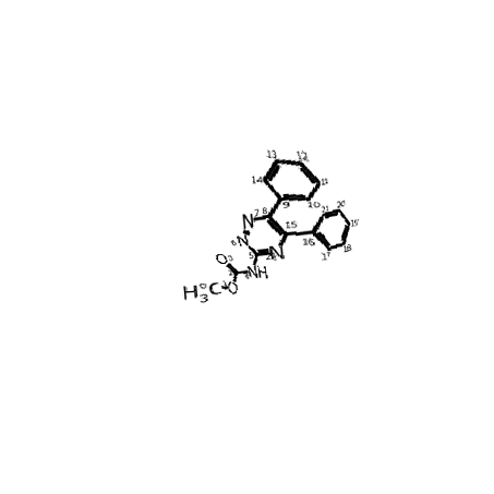 COC(=O)Nc1nnc(-c2ccccc2)c(-c2ccccc2)n1